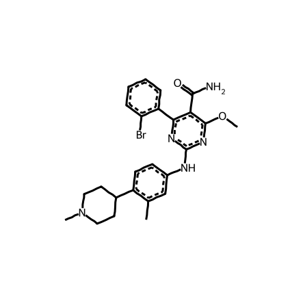 COc1nc(Nc2ccc(C3CCN(C)CC3)c(C)c2)nc(-c2ccccc2Br)c1C(N)=O